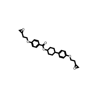 O=C(OC1CCC(c2ccc(OCCC3CO3)cc2)CC1)c1ccc(OCCC2CO2)cc1